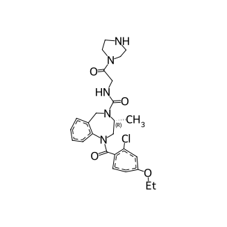 CCOc1ccc(C(=O)N2C[C@@H](C)N(C(=O)NCC(=O)N3CCNCC3)Cc3ccccc32)c(Cl)c1